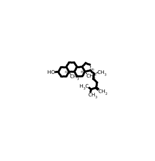 C=C(CC[C@@H](C)[C@H]1CCC2C3CCC4CC(O)CC[C@]4(C)C3CC[C@@]21C)C(C)C